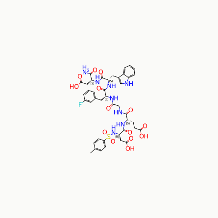 Cc1ccc(S(=O)(=O)N[C@H](CC(=O)O)C(=O)N[C@@H](CCC(=O)O)C(=O)NCC(=O)N[C@@H](Cc2cccc(F)c2)C(=O)N[C@@H](Cc2c[nH]c3ccccc23)C(=O)N[C@@H](CC(=O)O)C(N)=O)cc1